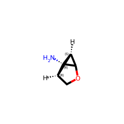 N[C@]12C3OC[C@@H]1[C@H]32